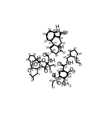 CC(C)C[C@H]1C(=O)N2CCC[C@H]2[C@]2(O)O[C@](NC(=O)[C@@H]3C=C4c5cccc6[nH]c(Br)c(c56)C[C@H]4N(C)C3)(C(C)C)C(=O)N12.CCN1CCCC1CNC(=O)c1cc(S(=O)(=O)CC)c(N)cc1OC